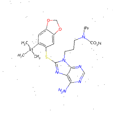 CC(C)N(CCCn1c(Sc2cc3c(c[c]2[Sn]([CH3])([CH3])[CH3])OCO3)nc2c(N)ncnc21)C(=O)O